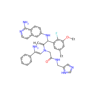 C=C(C(Nc1ccc2c(N)nccc2c1)c1cc(CC)cc(OCC)c1F)N(/C=C(\N)c1ccccc1)CC(=O)NCc1cnc[nH]1